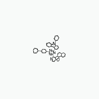 c1ccc(-c2ccc(-c3nc(-c4nccc5oc6c7ccccc7ccc6c45)nc(-c4cccc5c4c4ccccc4n5-c4ccccc4)n3)cc2)cc1